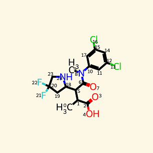 CC(C(=O)O)C(C(=O)N(C)c1cc(Cl)cc(Cl)c1)C1CC(F)(F)CN1